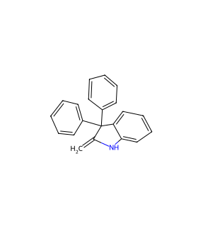 C=C1Nc2ccccc2C1(c1ccccc1)c1ccccc1